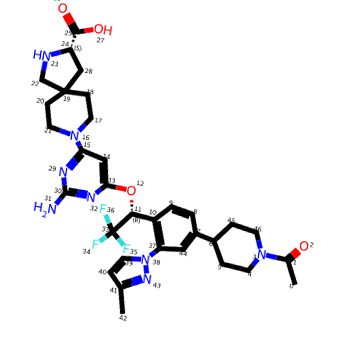 CC(=O)N1CCC(c2ccc([C@@H](Oc3cc(N4CCC5(CC4)CN[C@H](C(=O)O)C5)nc(N)n3)C(F)(F)F)c(-n3ccc(C)n3)c2)CC1